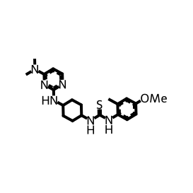 COc1ccc(NC(=S)NC2CCC(Nc3nccc(N(C)C)n3)CC2)c(C)c1